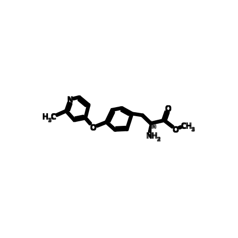 COC(=O)[C@@H](N)Cc1ccc(Oc2ccnc(C)c2)cc1